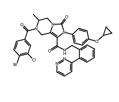 CC1Cn2c(c(C(=O)NCc3ccccc3-c3cccnn3)n(-c3ccc(OC4CC4)cc3)c2=O)CN1C(=O)c1ccc(Br)c(Cl)c1